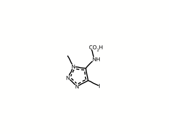 Cn1nnc(I)c1NC(=O)O